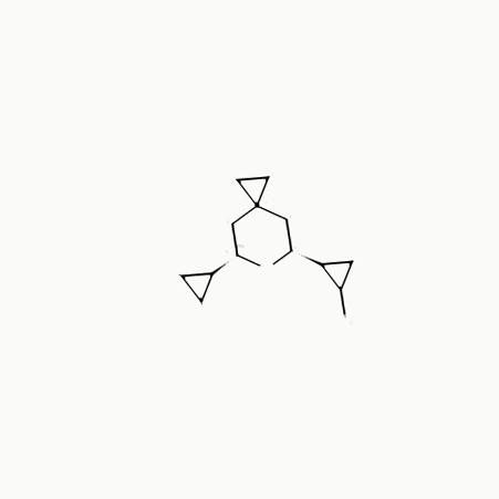 OC1CC1[C@@H]1CC2(CC2)C[C@H](C2CC2)O1